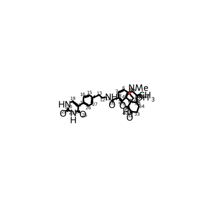 CNCC[C@]12c3c4ccc(C(=O)NCCc5ccc(-c6c[nH]c(=O)[nH]c6=O)cc5)c3O[C@H]1C(=O)CC[C@@]2(O)[C@H](C)C4